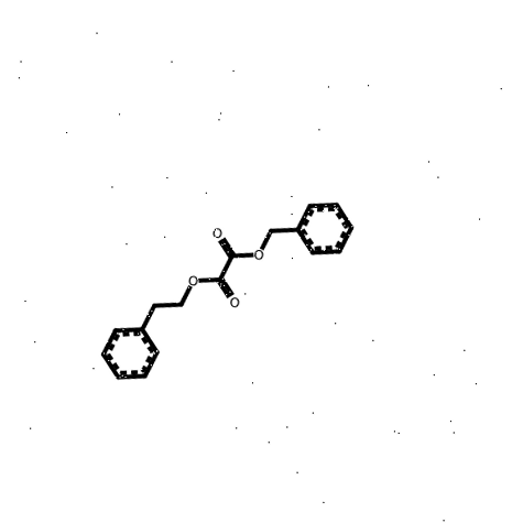 O=C(OCCc1ccccc1)C(=O)OCc1ccccc1